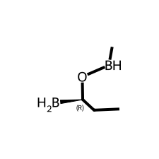 B[C@H](CC)OBC